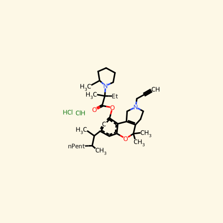 C#CCN1CCC2=C(C1)c1c(OC(=O)C(C)(CC)N3CCCCC3C)cc(C(C)C(C)CCCCC)cc1OC2(C)C.Cl.Cl